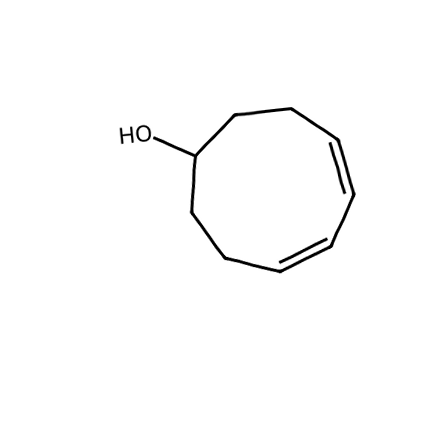 OC1CC/C=C\C=C/CC1